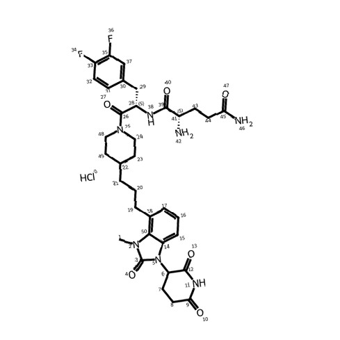 Cl.Cn1c(=O)n(C2CCC(=O)NC2=O)c2cccc(CCCC3CCN(C(=O)[C@H](Cc4ccc(F)c(F)c4)NC(=O)[C@@H](N)CCC(N)=O)CC3)c21